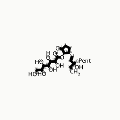 C=CC(O)(C=C[C@H]1CCC(=O)[C@@H]1OC(=O)C(O)C(O)C(O)C(O)C(O)CO)CCCCC